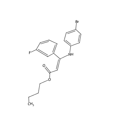 CCCCOC(=O)C=C(Nc1ccc(Br)cc1)c1cccc(F)c1